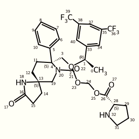 C[C@@H](OC[C@@]1(c2ccccc2)CC[C@]2(CCC(=O)N2)CN1C(=O)OCOC(=O)[C@@H]1CCCN1)c1cc(C(F)(F)F)cc(C(F)(F)F)c1